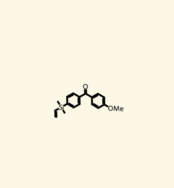 C=C[Si](C)(C)c1ccc(C(=O)c2ccc(OC)cc2)cc1